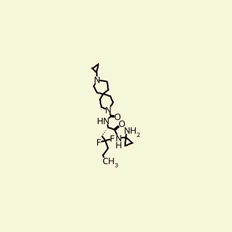 CCCC(F)(F)C[C@H](NC(=O)N1CCC2(CC1)CCN(C1CC1)CC2)C(=O)NC1(N)CC1